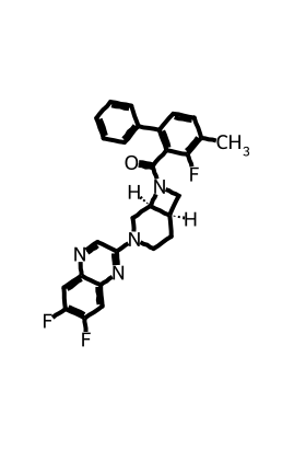 Cc1ccc(-c2ccccc2)c(C(=O)N2C[C@H]3CCN(c4cnc5cc(F)c(F)cc5n4)C[C@H]32)c1F